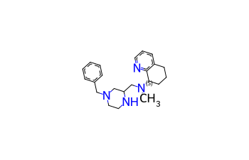 CN(CC1CN(Cc2ccccc2)CCN1)[C@H]1CCCc2cccnc21